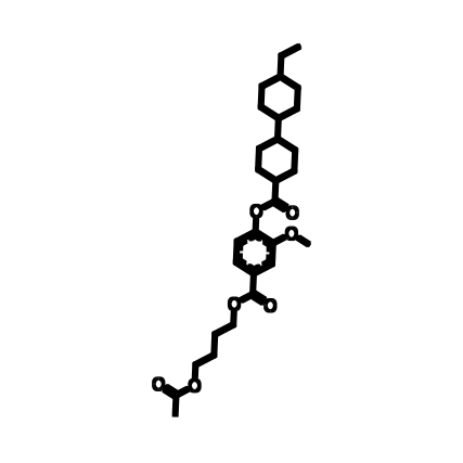 CCC1CCC(C2CCC(C(=O)Oc3ccc(C(=O)OCCCCOC(C)=O)cc3OC)CC2)CC1